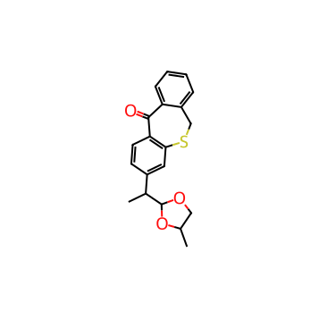 CC1COC(C(C)c2ccc3c(c2)SCc2ccccc2C3=O)O1